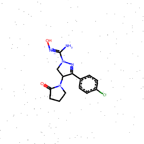 N/C(=N\O)N1CC(N2CCCC2=O)C(c2ccc(Cl)cc2)=N1